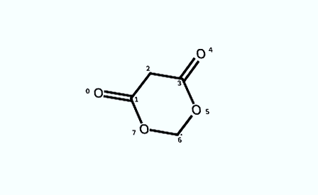 O=C1CC(=O)O[CH]O1